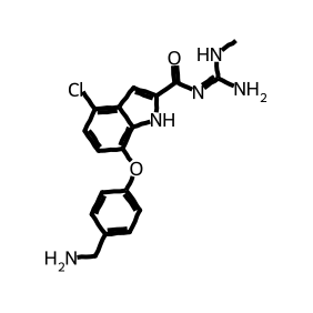 CNC(N)=NC(=O)c1cc2c(Cl)ccc(Oc3ccc(CN)cc3)c2[nH]1